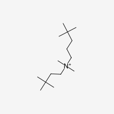 CC(C)(C)CCC[N+](C)(C)CCC(C)(C)C